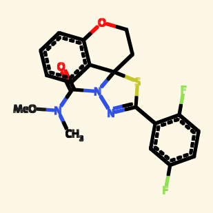 CON(C)C(=O)N1N=C(c2cc(F)ccc2F)SC12CCOc1ccccc12